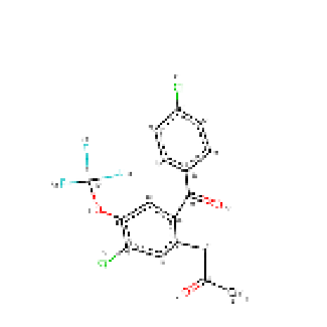 CC(=O)Cc1cc(Cl)c(OC(F)(F)F)cc1C(=O)c1ccc(Cl)cc1